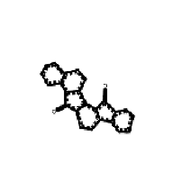 O=c1c2ccc3c4ccccc4c(=O)c3c2c2ccc3ccccc3c12